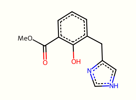 COC(=O)c1cccc(Cc2c[nH]cn2)c1O